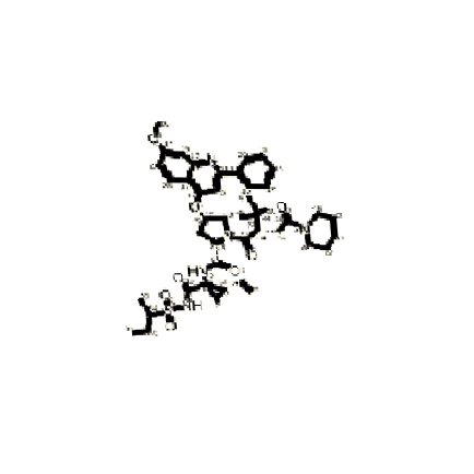 C=C[C@@H]1C[C@]1(NC(=O)[C@@H]1C[C@@H](Oc2cc(-c3ccccc3)nc3cc(OC)ccc23)CN1C(=O)[C@@H](CC(=O)N1CCCCC1)C(C)(C)C)C(=O)NS(=O)(=O)C(C)CC